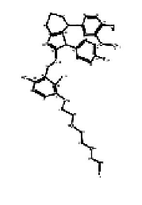 COc1cc(C2CCCc3nc(SCc4c(F)ccc(OCCOCCOCCI)c4F)n(-c4ccc(F)cc4)c32)ccc1Cl